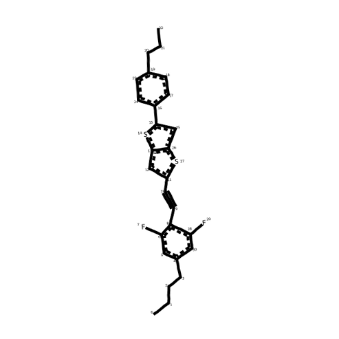 CCCCc1cc(F)c(C#Cc2cc3sc(-c4ccc(CCC)cc4)cc3s2)c(F)c1